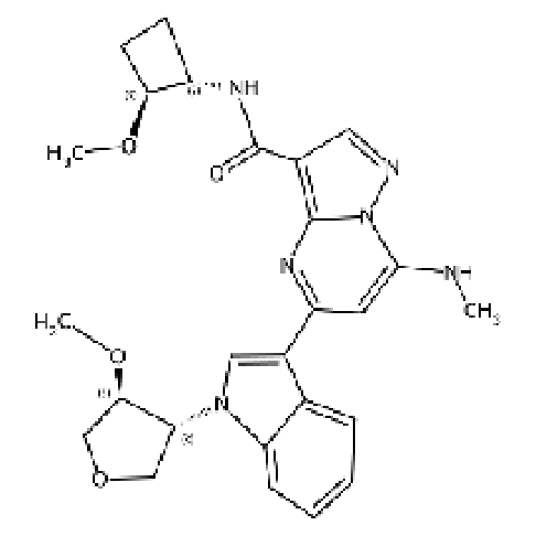 CNc1cc(-c2cn([C@@H]3COC[C@H]3OC)c3ccccc23)nc2c(C(=O)N[C@H]3CC[C@@H]3OC)cnn12